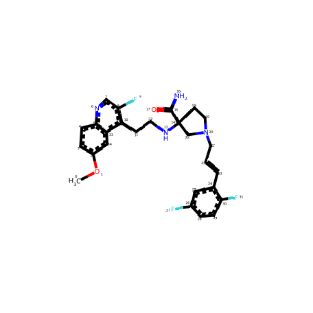 COc1ccc2ncc(F)c(CCNC3(C(N)=O)CCN(CC=Cc4cc(F)ccc4F)C3)c2c1